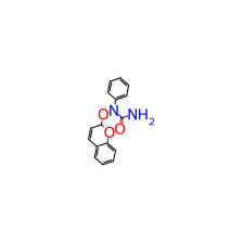 NC(=O)N(OC1C=Cc2ccccc2O1)c1ccccc1